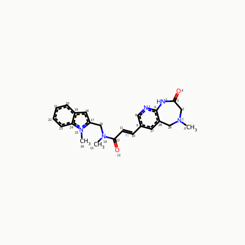 CN1CC(=O)Nc2ncc(/C=C/C(=O)N(C)Cc3cc4ccccc4n3C)cc2C1